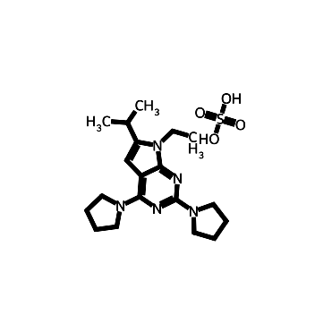 CCn1c(C(C)C)cc2c(N3CCCC3)nc(N3CCCC3)nc21.O=S(=O)(O)O